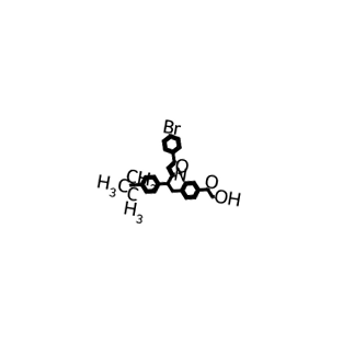 CC(C)(C)c1ccc(C(Cc2ccc(C(=O)CO)cc2)c2cc(-c3ccc(Br)cc3)on2)cc1